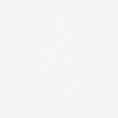 O=C(O)CO.OCC(O)COCC(O)COCC(O)CO